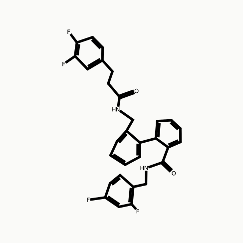 O=C(CCc1ccc(F)c(F)c1)NCc1ccccc1-c1ccccc1C(=O)NCc1ccc(F)cc1F